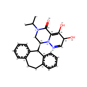 CC(C)N1C[C@H](C2c3ccccc3CCc3ccccc32)N2N=CC(O)C(O)=C2C1=O